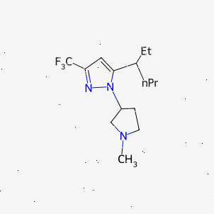 CCCC(CC)c1cc(C(F)(F)F)nn1C1CCN(C)C1